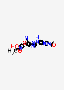 CC(O)C(=O)N1CCC(Oc2ccc(-c3nccc(Nc4ccc(N5CCN(C6COC6)CC5)cc4)n3)cc2C#N)CC1